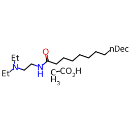 CC(=O)O.CCCCCCCCCCCCCCCCCC(=O)NCCN(CC)CC